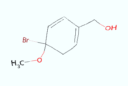 COC1(Br)C=CC(CO)=CC1